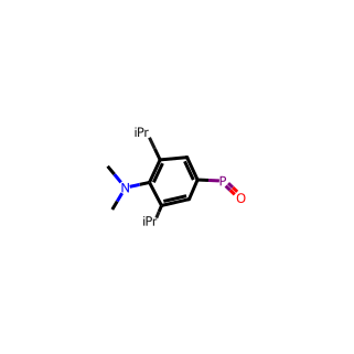 CC(C)c1cc(P=O)cc(C(C)C)c1N(C)C